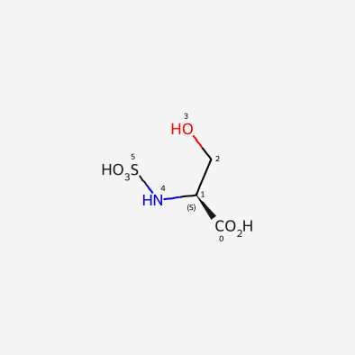 O=C(O)[C@H](CO)NS(=O)(=O)O